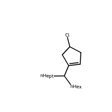 CCCCCCCC(CCCCCC)C1=CCC(Cl)C1